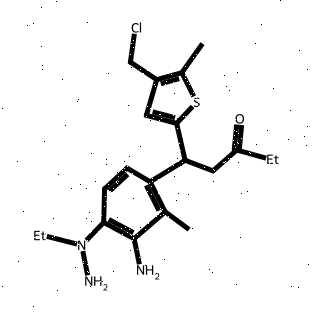 CCC(=O)CC(c1cc(CCl)c(C)s1)c1ccc(N(N)CC)c(N)c1C